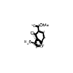 COC(=O)C1CCc2occ(C)c2C1=O